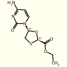 CCOC(=O)[C@@H]1O[C@H](n2ccc(N)nc2=O)CS1